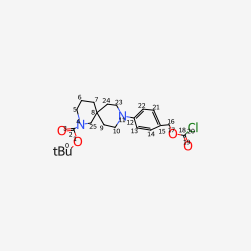 CC(C)(C)OC(=O)N1CCCC2(CCN(c3ccc(COC(=O)Cl)cc3)CC2)C1